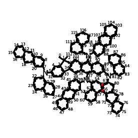 CC1(C)c2cc(N(c3ccc4cc5ccccc5cc4c3)c3cccc4ccccc34)ccc2-c2cc3c(N(c4ccc5cc6ccccc6cc5c4)c4cccc5ccccc45)c4cc(N(c5ccc6cc7ccccc7cc6c5)c5cccc6ccccc56)ccc4c(N(c4ccc5cc6ccccc6cc5c4)c4cccc5ccccc45)c3cc21